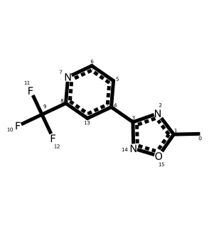 Cc1nc(-c2ccnc(C(F)(F)F)c2)no1